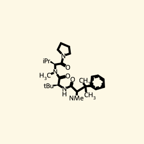 CNC(C(=O)N[C@H](C(=O)N(C)[C@H](C(=O)N1CCCC1)C(C)C)C(C)(C)C)C(C)(C)c1ccccc1